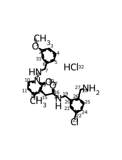 COc1cccc(CNn2ccc(C)c(CC(=O)NCc3cc(Cl)ccc3CN)c2=O)c1.Cl